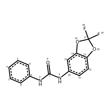 O=C(Nc1ccccc1)Nc1ccc2c(c1)OC(F)(F)O2